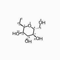 CS[C@H]1O[C@H](CO)[C@@H](O)[C@H](O)[C@H]1O